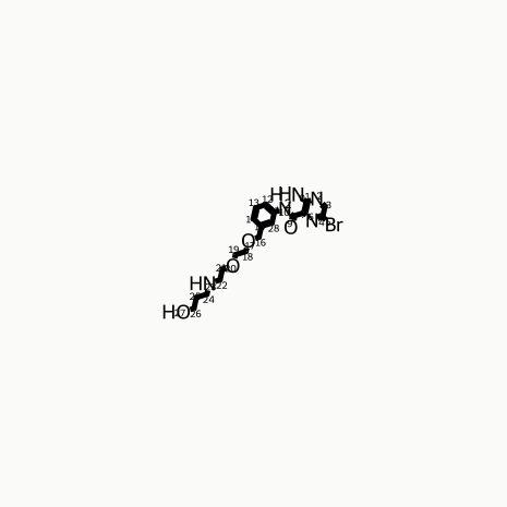 Nc1ncc(Br)nc1C(=O)Nc1cccc(COCCOCCNCCCO)c1